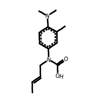 CC=CCN(C(=O)O)c1ccc(N(C)C)c(C)c1